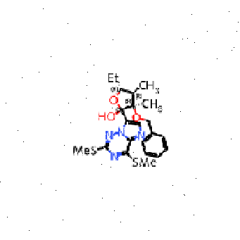 CC[C@H]1O[C@@](O)(c2cnc3c(SC)nc(SC)nn23)[C@](C)(OCc2ccccc2)[C@@H]1C